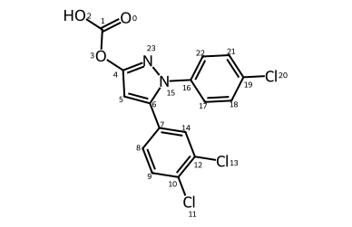 O=C(O)Oc1cc(-c2ccc(Cl)c(Cl)c2)n(-c2ccc(Cl)cc2)n1